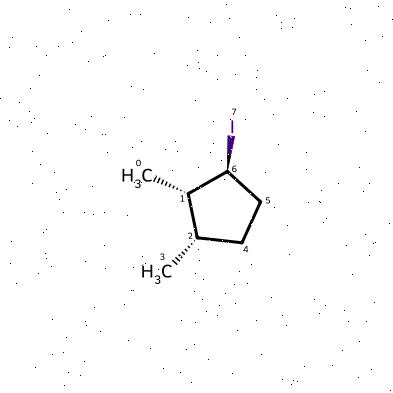 C[C@H]1[C@@H](C)CC[C@@H]1I